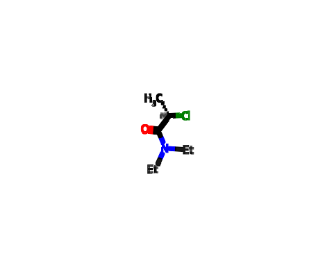 CCN(CC)C(=O)[C@H](C)Cl